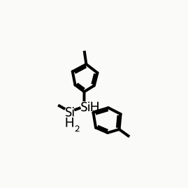 C[SiH2][SiH](c1ccc(C)cc1)c1ccc(C)cc1